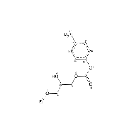 CCOCC(O)COC(=O)Oc1ccc([N+](=O)[O-])cc1